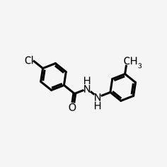 Cc1cccc(NNC(=O)c2ccc(Cl)cc2)c1